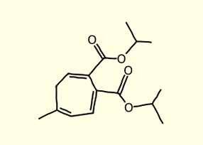 CC1=CC=C(C(=O)OC(C)C)C(C(=O)OC(C)C)=CC1